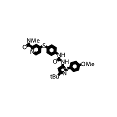 CNC(=O)c1cc(Sc2ccc(NC(=O)Nc3cc(C(C)(C)C)nn3-c3ccc(OC)cc3)cc2)ccn1